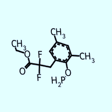 CCOC(=O)C(F)(F)Cc1cc(C)cc(C)c1OP